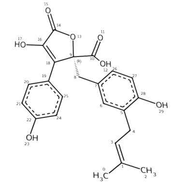 CC(C)=CCc1cc(C[C@@]2(C(=O)O)OC(=O)C(O)=C2c2ccc(O)cc2)ccc1O